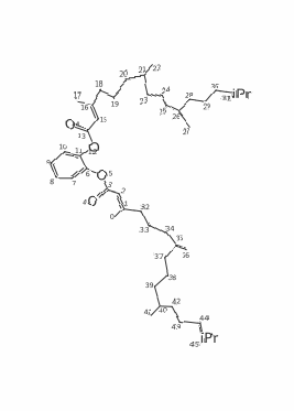 C/C(=C\C(=O)Oc1ccccc1OC(=O)/C=C(\C)CCCC(C)CCCC(C)CCCC(C)C)CCCC(C)CCCC(C)CCCC(C)C